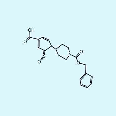 O=S=C1C=C(C(=O)O)C=CC1C1CCN(C(=O)OCc2ccccc2)CC1